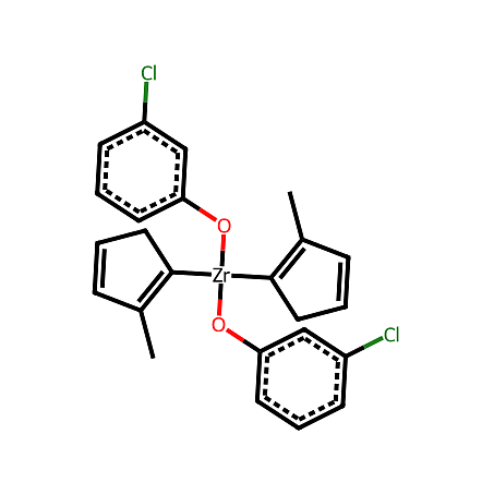 CC1=[C]([Zr]([O]c2cccc(Cl)c2)([O]c2cccc(Cl)c2)[C]2=C(C)C=CC2)CC=C1